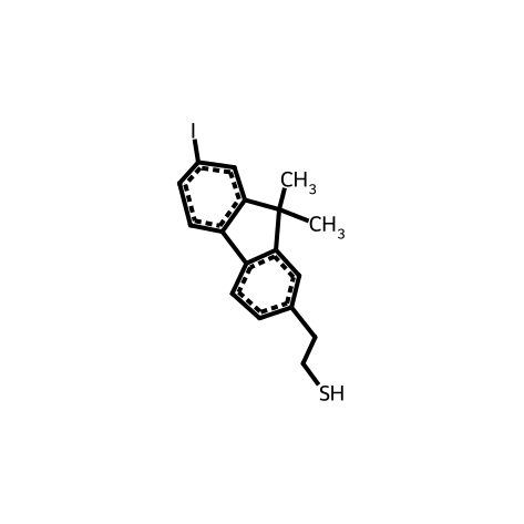 CC1(C)c2cc(I)ccc2-c2ccc(CCS)cc21